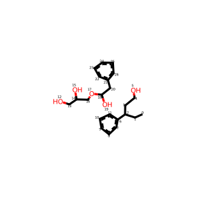 CCC(CCO)c1ccccc1.OCC(O)COC(O)Cc1ccccc1